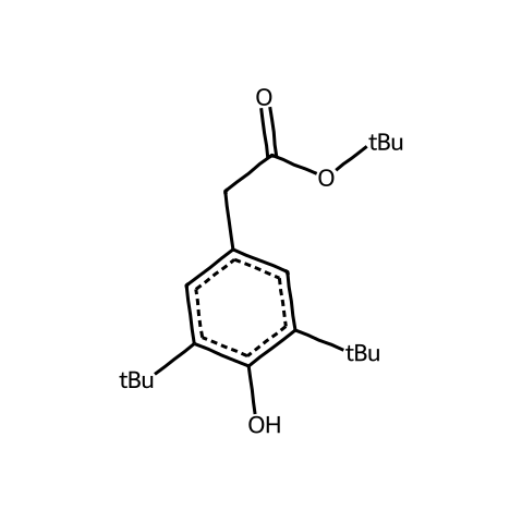 CC(C)(C)OC(=O)Cc1cc(C(C)(C)C)c(O)c(C(C)(C)C)c1